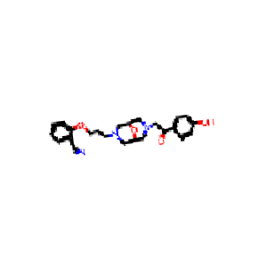 N#Cc1ccccc1OCCCN1CC2CN(CC(=O)c3ccc(O)cc3)CC(C1)O2